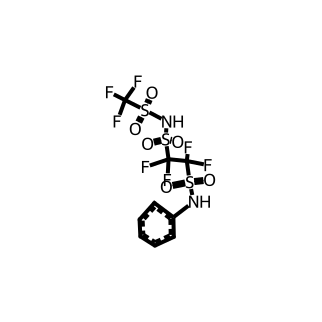 O=S(=O)(NS(=O)(=O)C(F)(F)C(F)(F)S(=O)(=O)Nc1ccccc1)C(F)(F)F